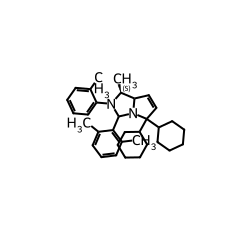 Cc1ccccc1N1C(c2c(C)cccc2C)N2C(C=CC2(C2CCCCC2)C2CCCCC2)[C@@H]1C